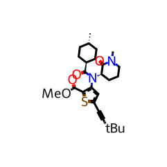 COC(=O)c1sc(C#CC(C)(C)C)cc1N(C(=O)[C@H]1CC[C@H](C)CC1)[C@H]1CCCN(C)C1=O